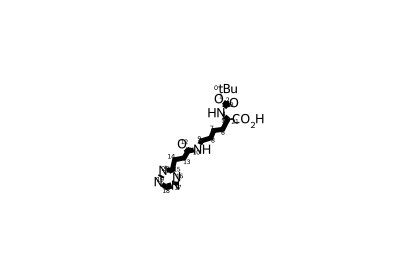 CC(C)(C)OC(=O)N[C@@H](CCCCNC(=O)CCc1nncnn1)C(=O)O